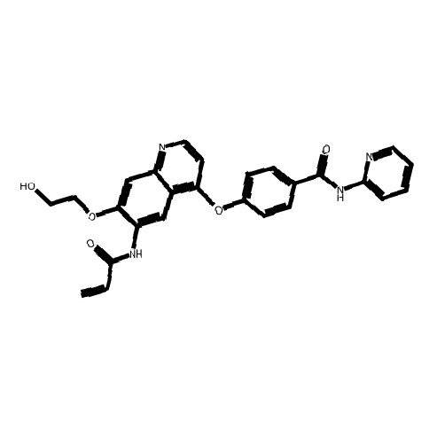 C=CC(=O)Nc1cc2c(Oc3ccc(C(=O)Nc4ccccn4)cc3)ccnc2cc1OCCO